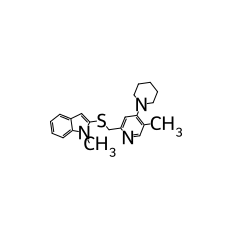 Cc1cnc(CSc2cc3ccccc3n2C)cc1N1CCCCC1